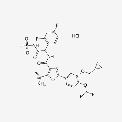 C[C@H](N)c1oc(-c2ccc(OC(F)F)c(OCC3CC3)c2)nc1C(=O)NC(C(=O)NS(C)(=O)=O)c1ccc(F)cc1F.Cl